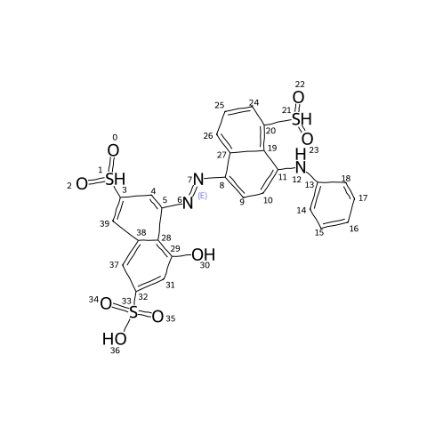 O=[SH](=O)c1cc(/N=N/c2ccc(Nc3ccccc3)c3c([SH](=O)=O)cccc23)c2c(O)cc(S(=O)(=O)O)cc2c1